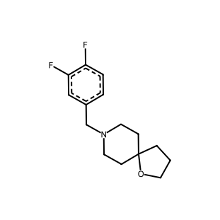 Fc1ccc(CN2CCC3(CCCO3)CC2)cc1F